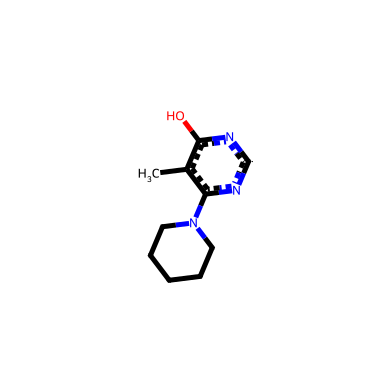 Cc1c(O)n[c]nc1N1CCCCC1